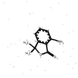 CC1(C)OC(=O)c2c(N)cccc21